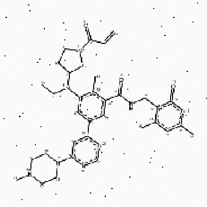 C=CC(=O)N1CCC(N(CC)c2cc(-c3cc(N4CCN(C)CC4)ncn3)cc(C(=O)NCc3c(C)cc(C)[nH]c3=O)c2C)C1